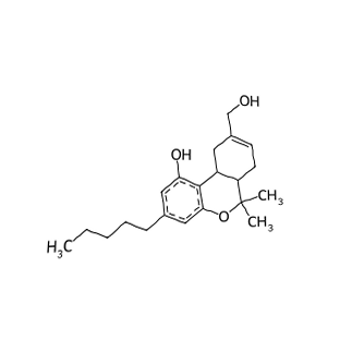 CCCCCc1cc(O)c2c(c1)OC(C)(C)C1CC=C(CO)CC21